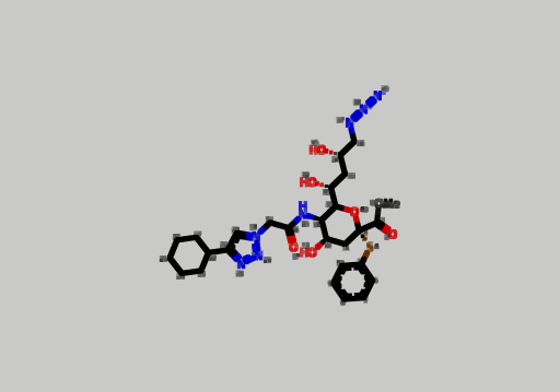 COC(=O)[C@@]1(Sc2ccccc2)C[C@@H](O)[C@@H](NC(=O)Cn2cc(C3CCCCC3)nn2)C([C@H](O)C[C@H](O)CN=[N+]=[N-])O1